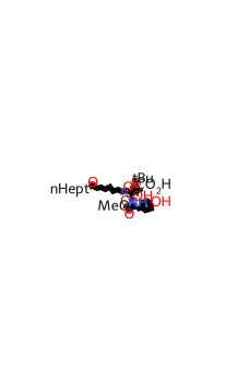 CCCCCCCC(=O)CCCCCC/C=C/[C@H](C(=O)N[C@@H](Cc1ccc(O)cc1)C(=O)OC)[C@@](O)(CC(=O)O)C(=O)OC(C)(C)C